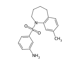 Cc1ccc2c(c1)N(S(=O)(=O)c1cccc(N)c1)CCCC2